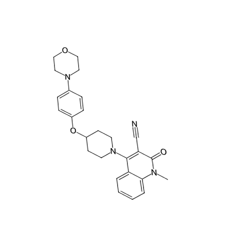 Cn1c(=O)c(C#N)c(N2CCC(Oc3ccc(N4CCOCC4)cc3)CC2)c2ccccc21